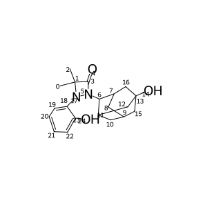 CC1(C)C(=O)N(C2C3CC4CC2CC(O)(C4)C3)N1c1ccccc1O